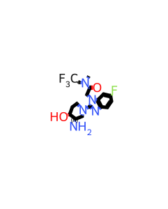 CN(CC(F)(F)F)C(=O)Cn1c(N2CCC(O)[C@H](N)C2)nc2ccc(F)cc21